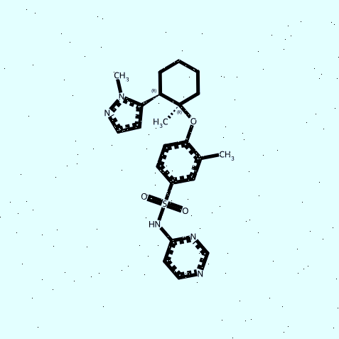 Cc1cc(S(=O)(=O)Nc2ccncn2)ccc1O[C@]1(C)CCCC[C@@H]1c1ccnn1C